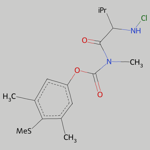 CSc1c(C)cc(OC(=O)N(C)C(=O)C(NCl)C(C)C)cc1C